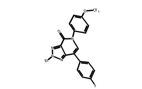 CCn1nc2c(-c3ccc(F)cc3)cn(-c3ccc(OC(F)(F)F)cc3)c(=O)c2n1